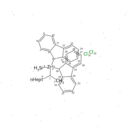 CCCCCCC[CH](C)[Zr+2]([SiH3])([CH]1c2ccccc2-c2ccccc21)[CH]1c2ccccc2-c2ccccc21.[Cl-].[Cl-]